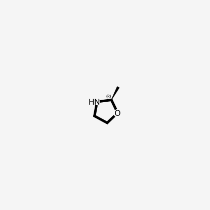 C[C@@H]1NCCO1